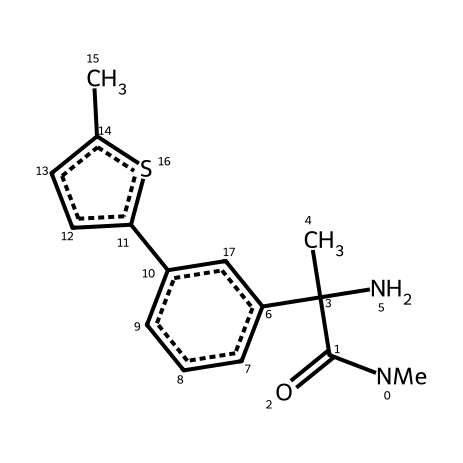 CNC(=O)C(C)(N)c1cccc(-c2ccc(C)s2)c1